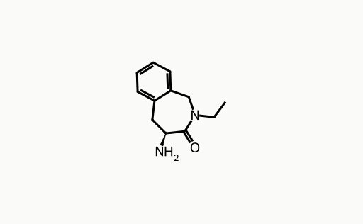 CCN1Cc2ccccc2C[C@H](N)C1=O